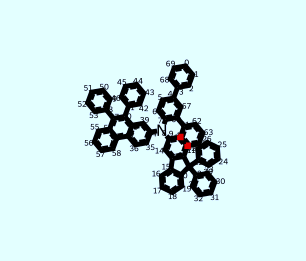 c1ccc(-c2ccc(N(c3ccc4c(c3)-c3ccccc3C4(c3ccccc3)c3ccccc3)c3ccc4c(c3)c(-c3ccccc3)c(-c3ccccc3)c3ccccc34)c(-c3ccccc3)c2)cc1